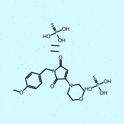 CC.CC.COc1ccc(CN2C(=O)C=C(N3CCOCC3)C2=O)cc1.OP(O)(O)=S.OP(O)(O)=S